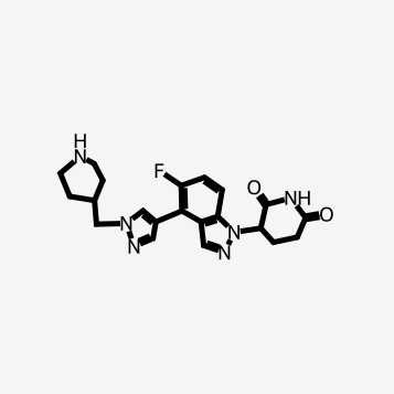 O=C1CCC(n2ncc3c(-c4cnn(CC5CCNCC5)c4)c(F)ccc32)C(=O)N1